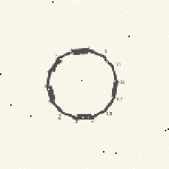 [C]1=CCC=CC=CC=CCCC=CC1